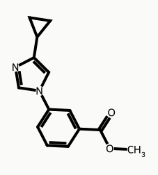 COC(=O)c1cccc(-n2cnc(C3CC3)c2)c1